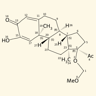 COCO[C@]1(C(C)=O)CC[C@H]2[C@@H]3CCC4=CC(=O)C(O)=C[C@]4(C)[C@H]3CC[C@@]21C